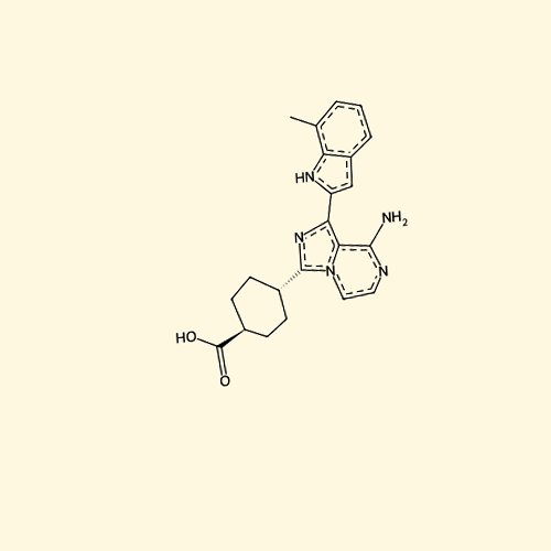 Cc1cccc2cc(-c3nc([C@H]4CC[C@H](C(=O)O)CC4)n4ccnc(N)c34)[nH]c12